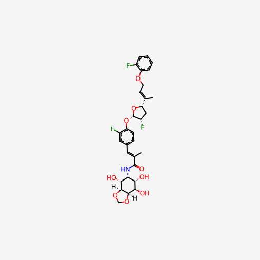 CC(=Cc1ccc(O[C@@H]2O[C@H](C(C)=CCOc3ccccc3F)C[C@@H]2F)c(F)c1)C(=O)N[C@@H]1[C@H](O)[C@@H](O)[C@H]2OCO[C@H]2[C@@H]1O